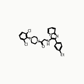 CCc1ccc(-c2nc3ccccn3c2NCC(=O)N2CCN(c3c(Cl)cccc3Cl)CC2)cc1